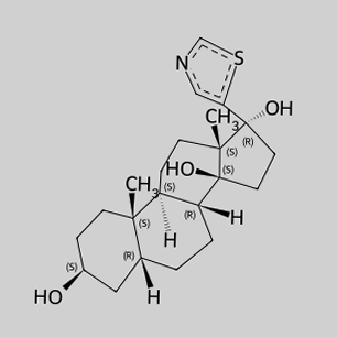 C[C@]12CC[C@H](O)C[C@H]1CC[C@@H]1[C@@H]2CC[C@]2(C)[C@@](O)(c3cncs3)CC[C@]12O